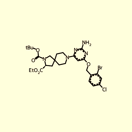 CCOC(=O)[C@@H]1CC2(CCN(c3cc(OCc4ccc(Cl)cc4Br)nc(N)n3)CC2)CN1C(=O)OC(C)(C)C